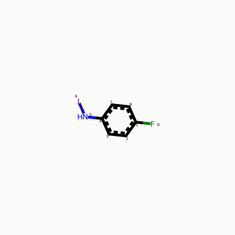 Fc1ccc(NI)cc1